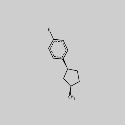 C[C@@H]1CC[C@H](c2ccc(F)cc2)C1